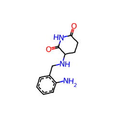 Nc1ccccc1CNC1CCC(=O)NC1=O